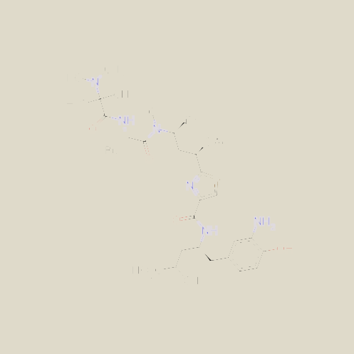 CC[C@H](C)[C@H](NC(=O)C(C)(C)N(C)C)C(=O)N(C)[C@H](C[C@@H](OC(C)=O)c1nc(C(=O)N[C@@H](Cc2ccc(O)c(N)c2)CC(C)C(=O)O)cs1)C(C)C